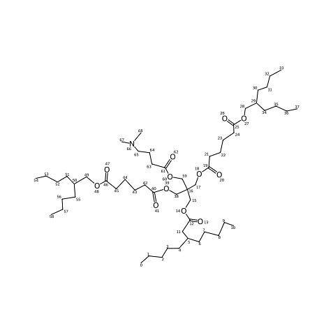 CCCCCC(CCCCC)CC(=O)OCC(COC(=O)CCCCC(=O)OCC(CCCC)CCCC)(COC(=O)CCCCC(=O)OCC(CCCC)CCCC)COC(=O)CCCN(C)C